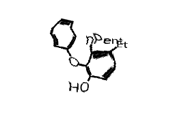 CCCCCc1c(CC)ccc(O)c1Oc1ccccc1